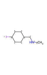 CNCC1CCC(I)CC1